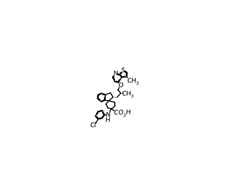 Cc1csc2nccc(OC[C@H](C)C[C@H]3Cc4ccccc4C34CCC(Nc3cccc(Cl)c3)(C(=O)O)CC4)c12